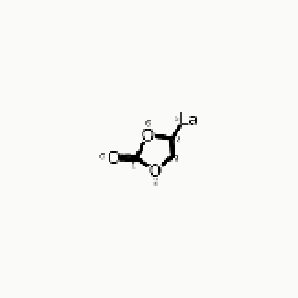 O=C1OC[CH]([La])O1